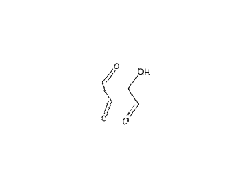 O=CC=O.O=CCO